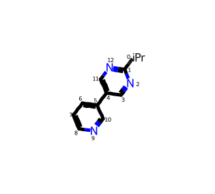 CC(C)c1ncc(-c2cccnc2)cn1